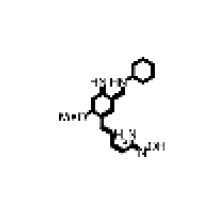 COC1=CC(=N)/C(=C\NC2CCCCC2)C=C1/C=C/C=C\C(N)=N\O